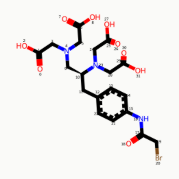 O=C(O)CN(CC(=O)O)C[C@H](Cc1ccc(NC(=O)CBr)cc1)N(CC(=O)O)CC(=O)O